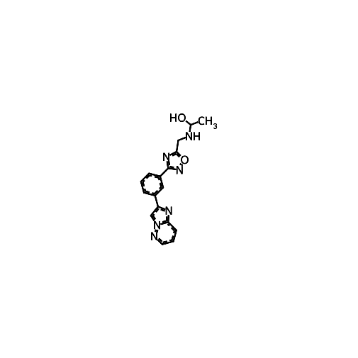 CC(O)NCc1nc(-c2cccc(-c3cn4ncccc4n3)c2)no1